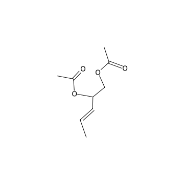 C/C=C/C(COC(C)=O)OC(C)=O